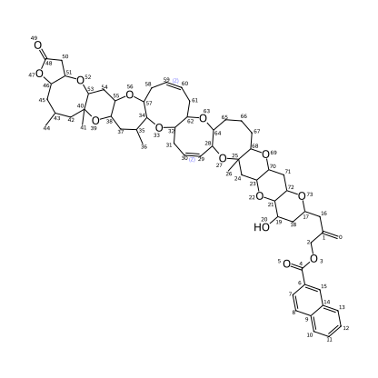 C=C(COC(=O)c1ccc2ccccc2c1)CC1CC(O)C2OC3CC4(C)OC5/C=C\CC6OC7C(C)CC8OC9(C)CC(C)CC%10OC(=O)CC%10OC9CC8OC7C/C=C\CC6OC5CCCC4OC3CC2O1